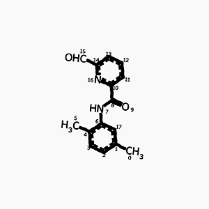 Cc1ccc(C)c(NC(=O)c2cccc(C=O)n2)c1